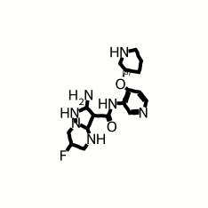 NC1NN2CC(F)CNC2C1C(=O)Nc1cnccc1O[C@H]1CCCNC1